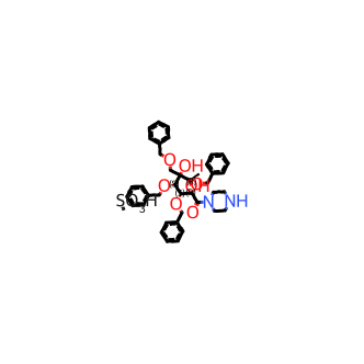 CS(=O)(=O)O.C[C@@H](O)C(O)(COCc1ccccc1)[C@@H](OCc1ccccc1)[C@H](OCc1ccccc1)[C@@H](OCc1ccccc1)C(=O)N1CCNCC1